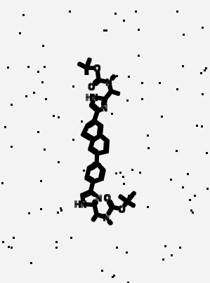 CC(c1nc(-c2ccc(-c3ccc4cc(-c5c[nH]c(C(C)N(C)C(=O)OC(C)(C)C)n5)ccc4c3)cc2)c[nH]1)N(C)C(=O)OC(C)(C)C